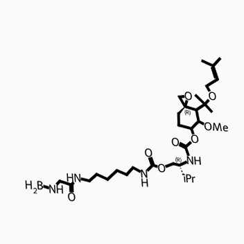 BNCC(=O)NCCCCCCNC(=O)OC[C@H](NC(=O)OC1CC[C@]2(CO2)C(C(C)(C)OCC=C(C)C)C1OC)C(C)C